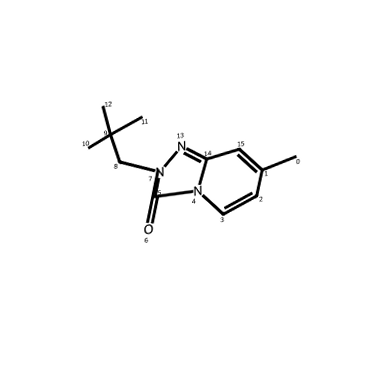 Cc1ccn2c(=O)n(CC(C)(C)C)nc2c1